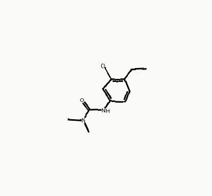 CCc1ccc(NC(=O)N(C)C)cc1Cl